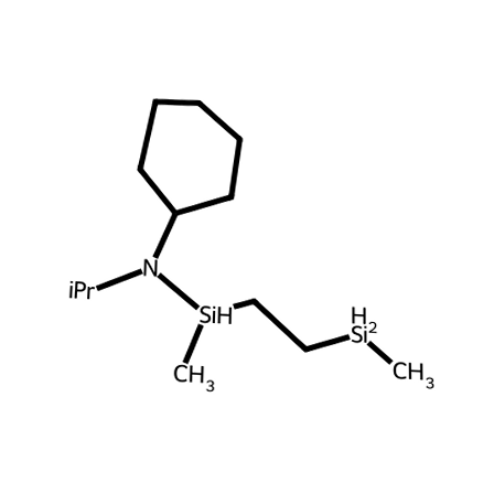 C[SiH2]CC[SiH](C)N(C(C)C)C1CCCCC1